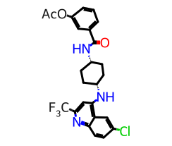 CC(=O)Oc1cccc(C(=O)N[C@H]2CC[C@@H](Nc3cc(C(F)(F)F)nc4ccc(Cl)cc34)CC2)c1